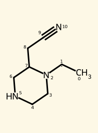 C[CH]N1CCNCC1CC#N